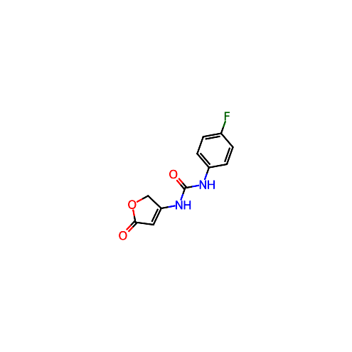 O=C(NC1=CC(=O)OC1)Nc1ccc(F)cc1